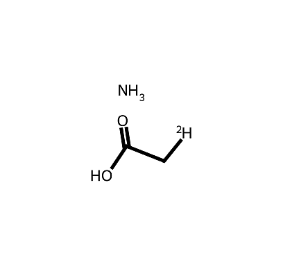 N.[2H]CC(=O)O